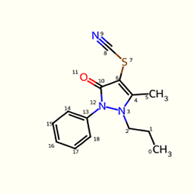 CCCn1c(C)c(SC#N)c(=O)n1-c1ccccc1